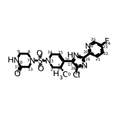 C[C@H]1CN(S(=O)(=O)N2CCNC(=O)C2)CC=C1c1[nH]c(-c2ccc(F)cn2)nc1Cl